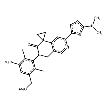 COCc1cc(OC)c(F)c(N2Cc3cnc(-c4csc(N(C)C)n4)cc3C3(CC3)C2=O)c1F